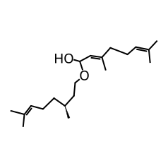 CC(C)=CCC/C(C)=C/C(O)OCC[C@@H](C)CCC=C(C)C